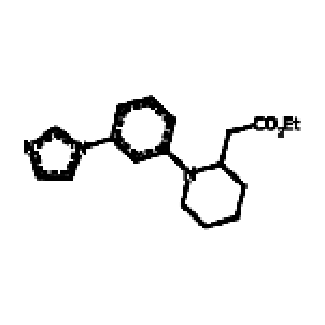 CCOC(=O)CC1CCCCN1c1cccc(-n2ccnc2)c1